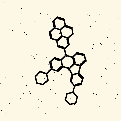 C1=CC2=CCc3cc(N4c5ccc(C6CCCCC6)cc5-n5c6cc(C7CCCCC7)ccc6c6cccc4c65)cc4c3C2C(=C1)C=C4